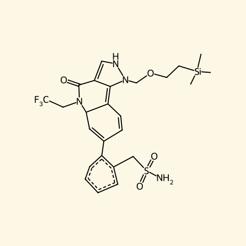 C[Si](C)(C)CCOCN1NC=C2C(=O)N(CC(F)(F)F)C3C=C(c4ccccc4CS(N)(=O)=O)C=CC3=C21